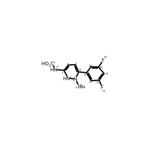 CC(C)(C)N1NC(NC(=O)O)=CC=C1c1cc(F)cc(F)c1